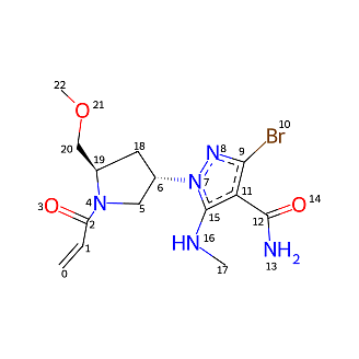 C=CC(=O)N1C[C@@H](n2nc(Br)c(C(N)=O)c2NC)C[C@@H]1COC